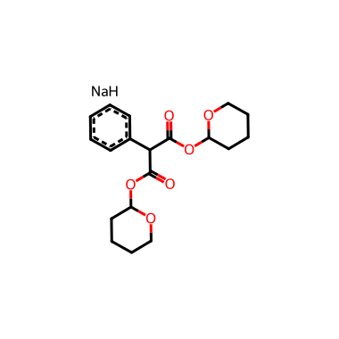 O=C(OC1CCCCO1)C(C(=O)OC1CCCCO1)c1ccccc1.[NaH]